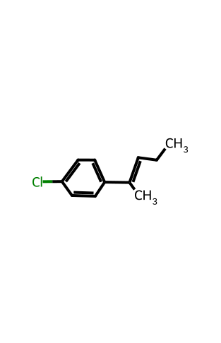 CCC=C(C)c1ccc(Cl)cc1